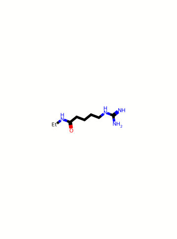 CCNC(=O)CCCCNC(=N)N